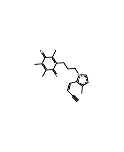 C#C/C=C\c1c(C)ncn1CCCC1=C(C)C(=O)C(C)=C(C)C1=O